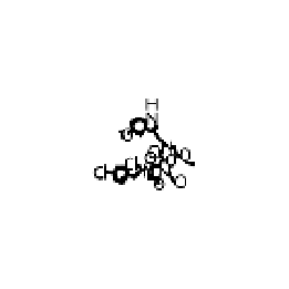 CCOC(=O)CN(CCc1c[nH]c2ccc(OC)cc12)C(=O)CC1C(=O)N(C(Cl)Cc2ccc(Cl)cc2)CC(=O)N1CCOC